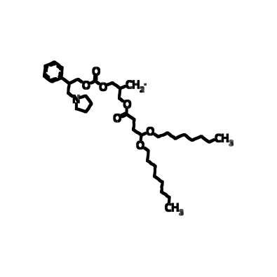 [CH2]C(COC(=O)CCC(OCCCCCCCC)OCCCCCCCC)COC(=O)OCC(CN1CCCC1)c1ccccc1